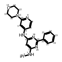 CC(C)Nc1cc(Nc2ccnc(N3CCOCC3)c2)nc(-c2ccccc2)n1